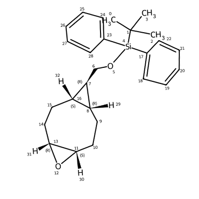 CC(C)(C)[Si](OC[C@H]1[C@@H]2CC[C@@H]3O[C@@H]3CC[C@@H]21)(c1ccccc1)c1ccccc1